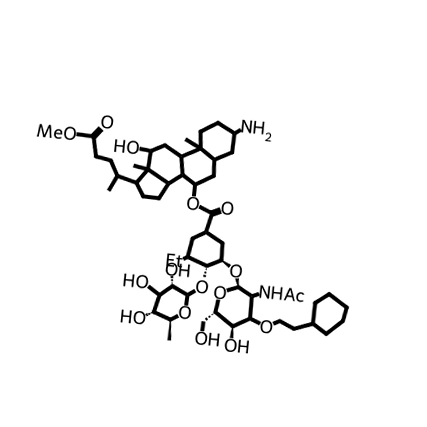 CCC1CC(C(=O)OC2CC3CC(N)CCC3(C)C3CC(O)C4(C)C(C(C)CCC(=O)OC)CCC4C23)C[C@@H](O[C@@H]2O[C@@H](CO)[C@H](O)C(OCCC3CCCCC3)C2NC(C)=O)[C@@H]1OC1O[C@@H](C)[C@H](O)C(O)[C@@H]1O